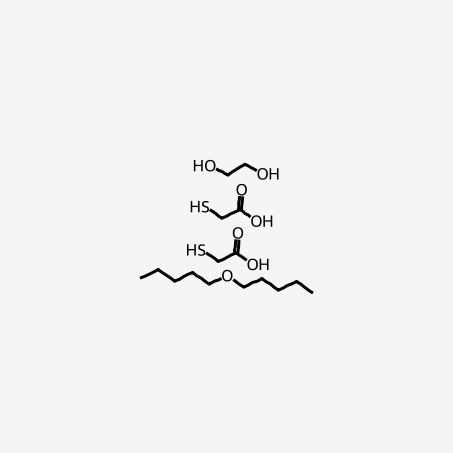 CCCCCOCCCCC.O=C(O)CS.O=C(O)CS.OCCO